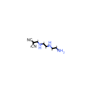 N#CC(C#N)CNCCNCCN